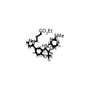 CCOC(=O)CCCn1nnnc1-c1ccc2c(c1)[C@@H](Nc1ccnc(SC)n1)[C@](C)(O)C(C)(C)O2